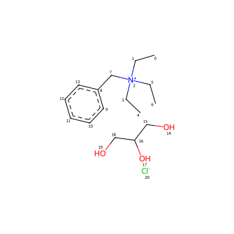 CC[N+](CC)(CC)Cc1ccccc1.OCC(O)CO.[Cl-]